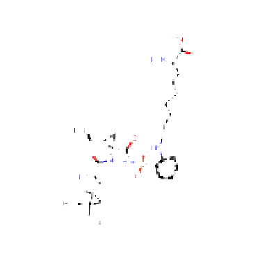 C=C[C@@H]1C[C@]1(NC(=O)[C@@H]1C[C@@]2(CN1)CC2(C)C)C(=O)NS(=O)(=O)c1ccccc1NCCCCCCC[C@H](N)C(=O)O